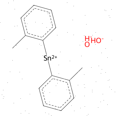 Cc1cccc[c]1[Sn+2][c]1ccccc1C.[OH-].[OH-]